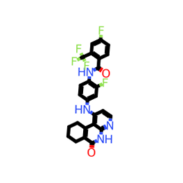 O=C(Nc1ccc(Nc2ccnc3[nH]c(=O)c4c(c23)CCCC4)cc1F)c1ccc(F)cc1C(F)(F)F